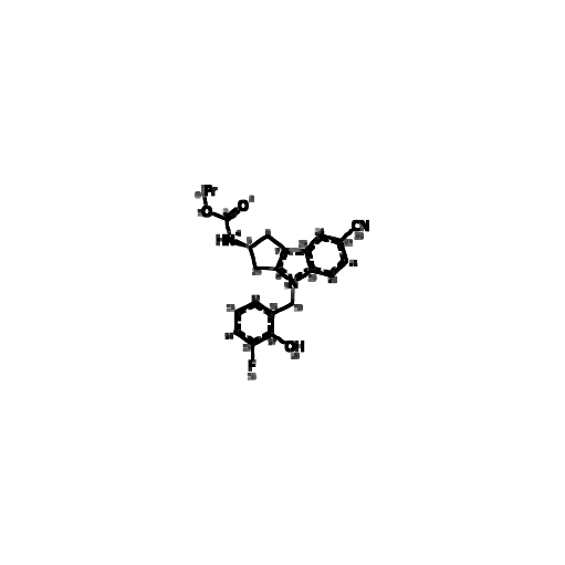 CC(C)OC(=O)N[C@H]1Cc2c(n(Cc3cccc(F)c3O)c3ccc(C#N)cc23)C1